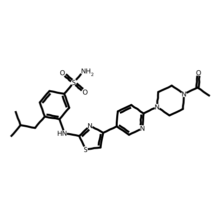 CC(=O)N1CCN(c2ccc(-c3csc(Nc4cc(S(N)(=O)=O)ccc4CC(C)C)n3)cn2)CC1